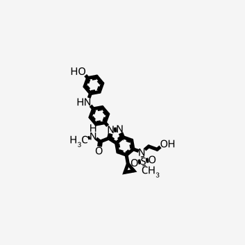 CNC(=O)c1c2cc(C3CC3)c(N(CCO)S(C)(=O)=O)cc2nn1-c1ccc(Nc2cccc(O)c2)cc1